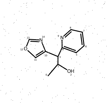 CC(O)C(c1ccccn1)c1cocn1